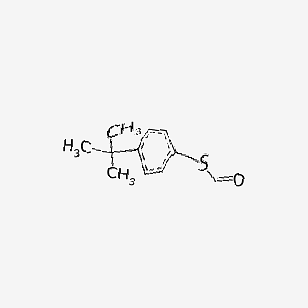 CC(C)(C)c1ccc(SC=O)cc1